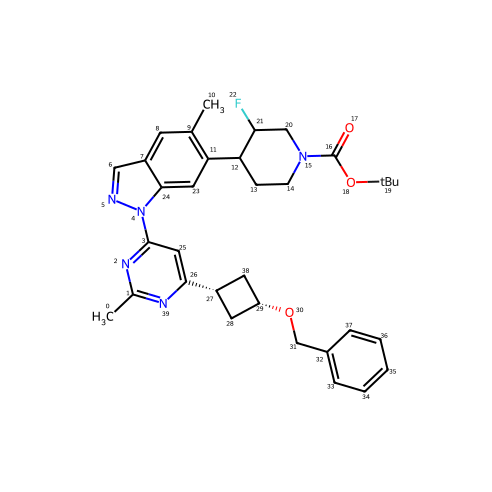 Cc1nc(-n2ncc3cc(C)c(C4CCN(C(=O)OC(C)(C)C)CC4F)cc32)cc([C@H]2C[C@@H](OCc3ccccc3)C2)n1